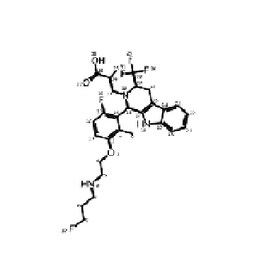 Cc1c(OCCNCCCF)ccc(F)c1C1c2[nH]c3ccccc3c2CC(C(F)(F)F)N1CC(C)C(=O)O